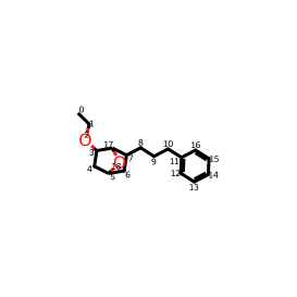 CCOC1CC2CC(CCCc3ccccc3)C1O2